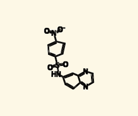 O=[N+]([O-])c1ccc(S(=O)(=O)Nc2ccc3nccnc3c2)cc1